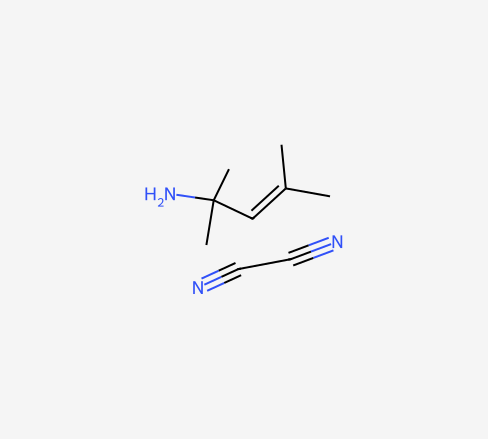 CC(C)=CC(C)(C)N.N#CC#N